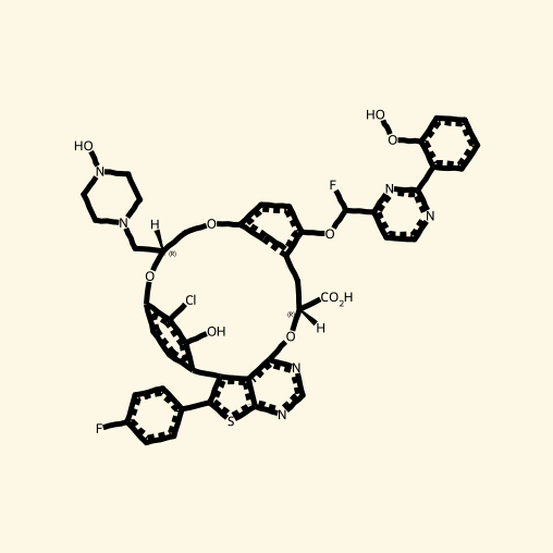 O=C(O)[C@H]1Cc2cc(ccc2OC(F)c2ccnc(-c3ccccc3OO)n2)OC[C@@H](CN2CCN(O)CC2)Oc2ccc(c(O)c2Cl)-c2c(-c3ccc(F)cc3)sc3ncnc(c23)O1